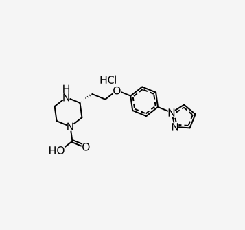 Cl.O=C(O)N1CCN[C@H](CCOc2ccc(-n3cccn3)cc2)C1